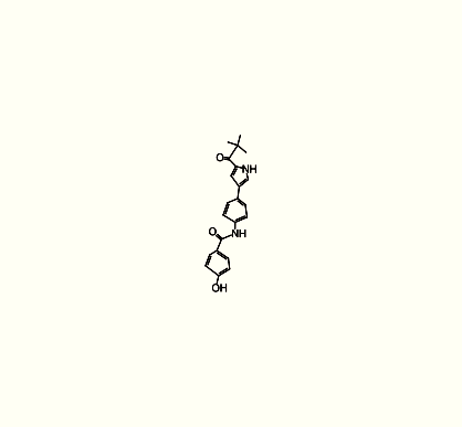 CC(C)(C)C(=O)c1cc(-c2ccc(NC(=O)c3ccc(O)cc3)cc2)c[nH]1